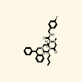 CCCC[C@H]1C(=O)N(CC(c2ccccc2)c2ccccc2)C[C@H]2N1C(=O)CN(C)N2C(=O)NCc1ccc(F)cc1